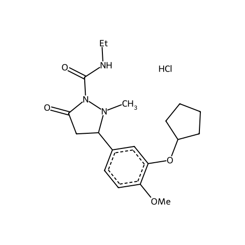 CCNC(=O)N1C(=O)CC(c2ccc(OC)c(OC3CCCC3)c2)N1C.Cl